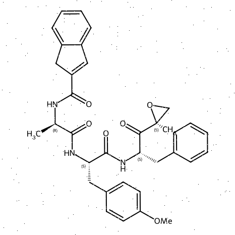 COc1ccc(C[C@H](NC(=O)[C@@H](C)NC(=O)C2=Cc3ccccc3C2)C(=O)N[C@@H](Cc2ccccc2)C(=O)[C@]2(C)CO2)cc1